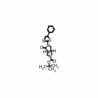 CC(C)(C)OC(=O)N1C[C@H]2CN(c3ncc(-c4ccccc4)s3)C(=O)[C@H]2C1